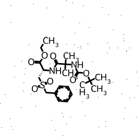 CCOC(=O)[C@@H](CS(=O)(=O)Cc1ccccc1)NC(=O)C(C)(C)NC(=O)OC(C)(C)C